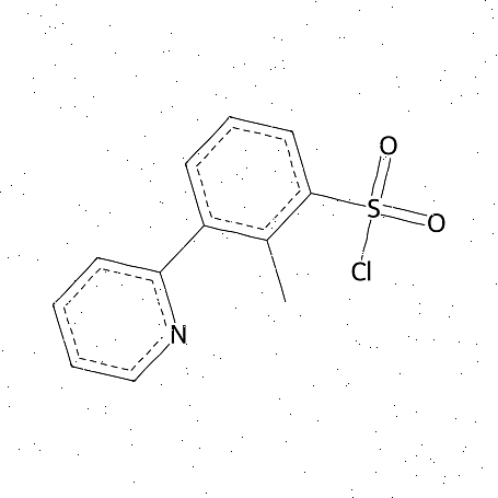 Cc1c(-c2ccccn2)cccc1S(=O)(=O)Cl